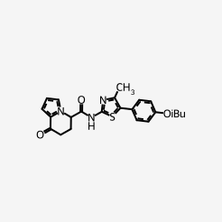 Cc1nc(NC(=O)C2CCC(=O)c3cccn32)sc1-c1ccc(OCC(C)C)cc1